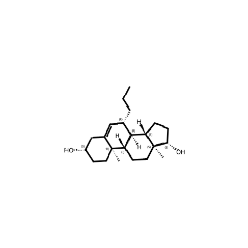 CCC[C@H]1C=C2C[C@@H](O)CC[C@]2(C)[C@H]2CC[C@]3(C)[C@@H](O)CC[C@H]3[C@H]12